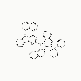 c1ccc2c(c1)-c1c(c3c4ccc5ccccc5c4n(-c4nc(-c5cccc6ccccc56)c5oc6ccccc6c5n4)c3c3ccccc13)C21CCCCC1